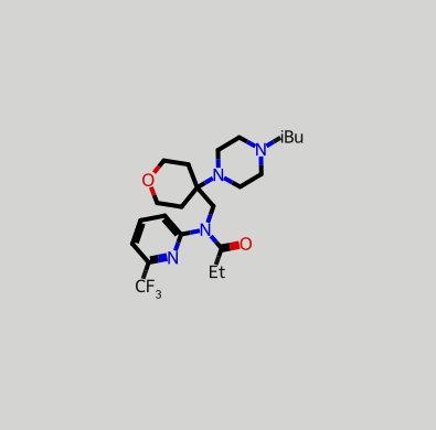 CCC(=O)N(CC1(N2CCN(C(C)CC)CC2)CCOCC1)c1cccc(C(F)(F)F)n1